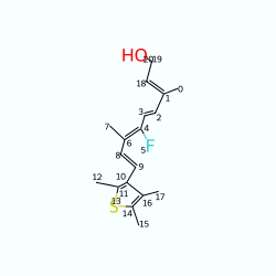 CC(C=CC(F)=C(C)C=Cc1c(C)sc(C)c1C)=CCO